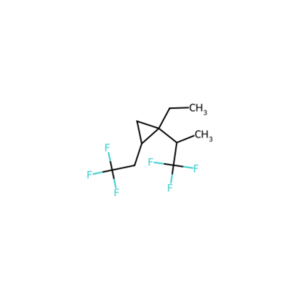 CCC1(C(C)C(F)(F)F)CC1CC(F)(F)F